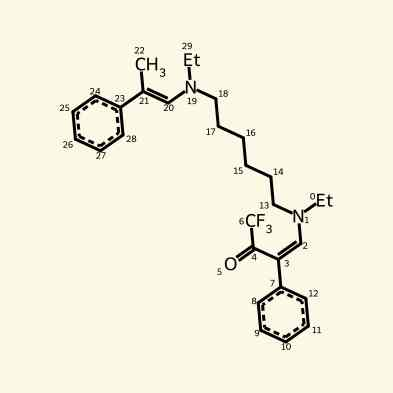 CCN(/C=C(\C(=O)C(F)(F)F)c1ccccc1)CCCCCCN(/C=C(\C)c1ccccc1)CC